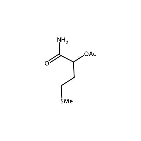 CSCCC(OC(C)=O)C(N)=O